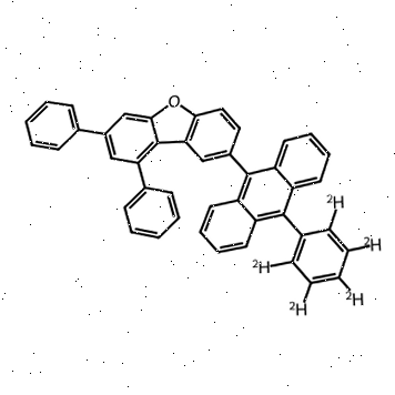 [2H]c1c([2H])c([2H])c(-c2c3ccccc3c(-c3ccc4oc5cc(-c6ccccc6)cc(-c6ccccc6)c5c4c3)c3ccccc23)c([2H])c1[2H]